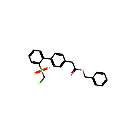 O=C(Cc1ccc(-c2ccccc2S(=O)(=O)CCl)cc1)OCc1ccccc1